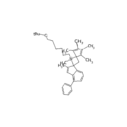 CC1=Cc2c(-c3ccccc3)cccc2C12CC1(C(C)=C(C)C(C)=C1C)[Si]2(C)CCCCCCOC(C)(C)C